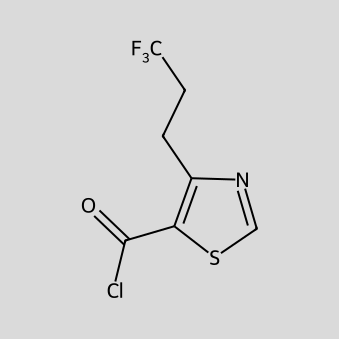 O=C(Cl)c1scnc1CCC(F)(F)F